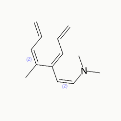 C=CC=C(/C=C\N(C)C)/C(C)=C\C=C